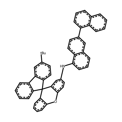 CC(C)(C)c1ccc2c(c1)-c1ccccc1C21c2ccccc2Oc2ccc(Nc3cccc4cc(-c5cccc6ccccc56)ccc34)cc21